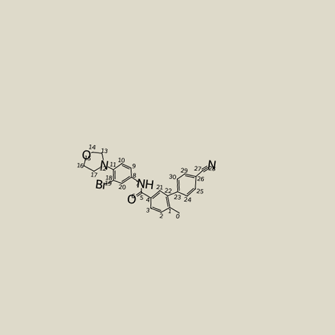 Cc1ccc(C(=O)Nc2ccc(N3CCOCC3)c(Br)c2)cc1-c1ccc(C#N)cc1